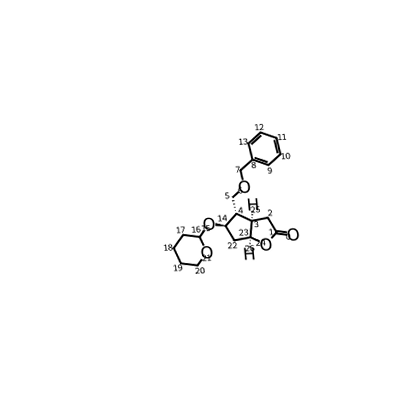 O=C1C[C@@H]2[C@@H](COCc3ccccc3)[C@H](OC3CCCCO3)C[C@@H]2O1